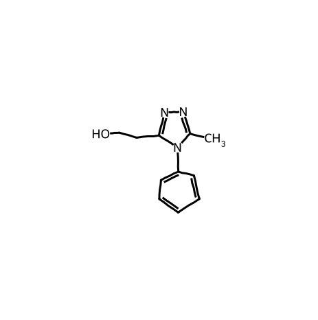 Cc1nnc(CCO)n1-c1ccccc1